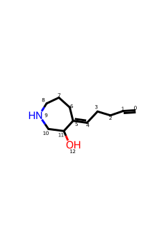 C=CCC/C=C1\CCCNCC1O